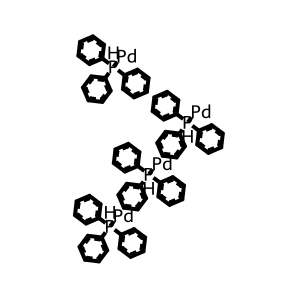 [Pd][PH](c1ccccc1)(c1ccccc1)c1ccccc1.[Pd][PH](c1ccccc1)(c1ccccc1)c1ccccc1.[Pd][PH](c1ccccc1)(c1ccccc1)c1ccccc1.[Pd][PH](c1ccccc1)(c1ccccc1)c1ccccc1